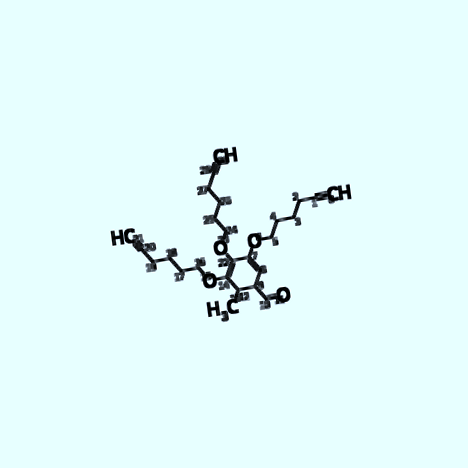 C#CCCCCOC1=CC(C=O)C(C)C(OCCCCC#C)=C1OCCCCC#C